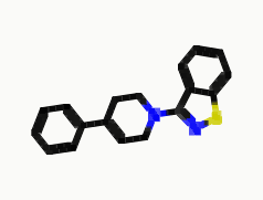 C1=C(c2ccccc2)CCN(c2nsc3ccccc23)C1